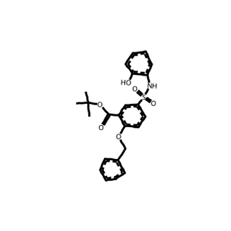 CC(C)(C)OC(=O)c1cc(S(=O)(=O)Nc2ccccc2O)ccc1OCc1ccccc1